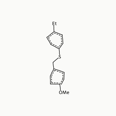 CCc1ccc(SCc2ccc(OC)cc2)cc1